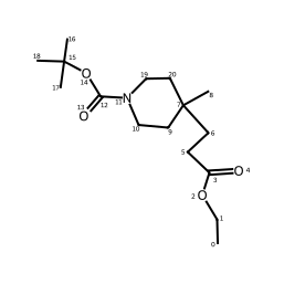 CCOC(=O)CCC1(C)CCN(C(=O)OC(C)(C)C)CC1